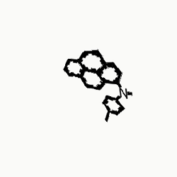 Cc1ccc(N(C)c2ccc3ccc4cccc5ccc2c3c45)cc1